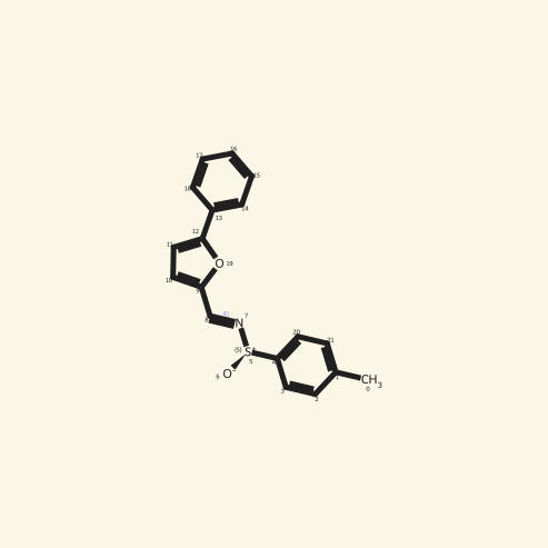 Cc1ccc([S@@+]([O-])/N=C/c2ccc(-c3ccccc3)o2)cc1